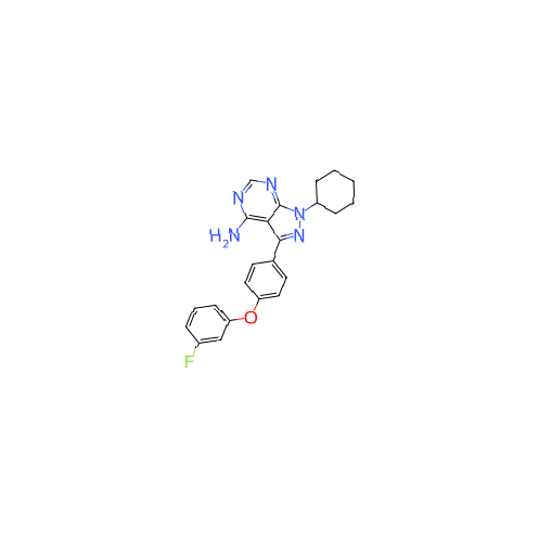 Nc1ncnc2c1c(-c1ccc(Oc3cccc(F)c3)cc1)nn2C1CCCCC1